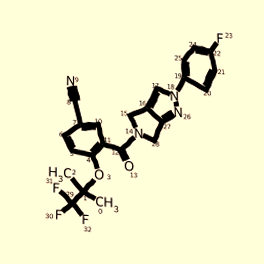 CC(C)(Oc1ccc(C#N)cc1C(=O)N1Cc2cn(-c3ccc(F)cc3)nc2C1)C(F)(F)F